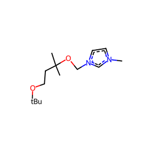 Cn1cc[n+](COC(C)(C)CCOC(C)(C)C)c1